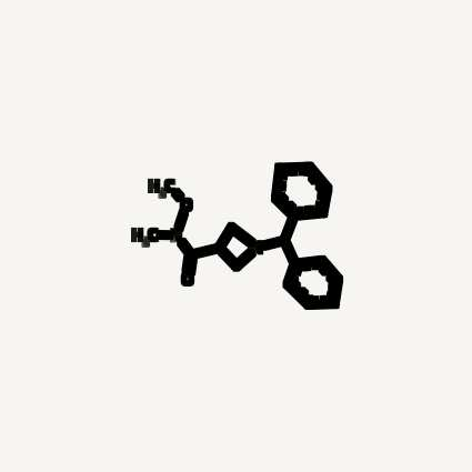 CON(C)C(=O)C1CN(C(c2ccccc2)c2ccccc2)C1